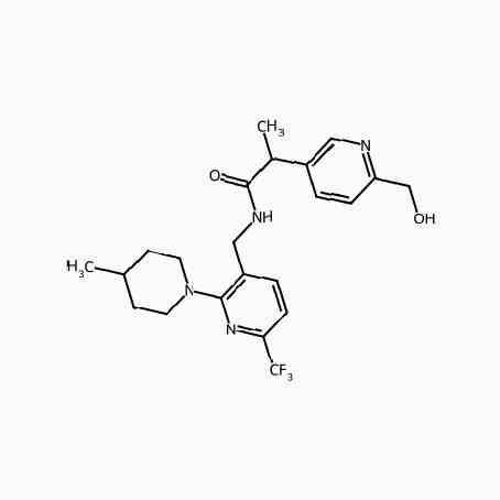 CC1CCN(c2nc(C(F)(F)F)ccc2CNC(=O)C(C)c2ccc(CO)nc2)CC1